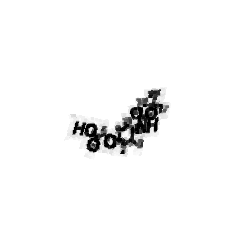 Cc1cc(OCC(=O)O)ccc1NC(=O)OC(C)(C)C